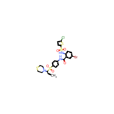 C=CC(N1CCSCC1)S(=O)(=O)c1ccc(NC(=O)c2cc(Br)ccc2NS(=O)(=O)c2ccc(Cl)s2)cc1